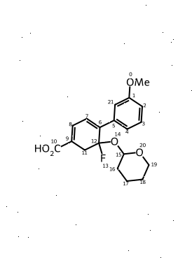 COc1cccc(C2=CC=C(C(=O)O)CC2(F)OC2CCCCO2)c1